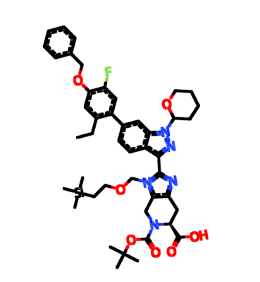 CCc1cc(OCc2ccccc2)c(F)cc1-c1ccc2c(-c3nc4c(n3COCC[Si](C)(C)C)CN(C(=O)OC(C)(C)C)[C@H](C(=O)O)C4)nn(C3CCCCO3)c2c1